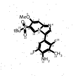 COc1cc2ncc(-c3cc(F)c(N)c(C)c3F)n2cc1S(=O)(=O)C(C)(C)C